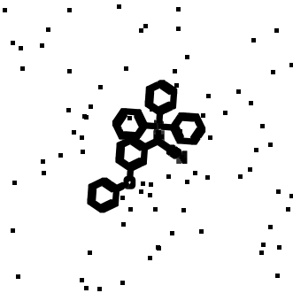 N#CC(c1cccc(Oc2ccccc2)c1)[PH](c1ccccc1)(c1ccccc1)c1ccccc1